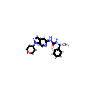 C[C@@H](NC(=O)Nc1cc2cnn(C3CCOCC3)c2cn1)c1ccccc1